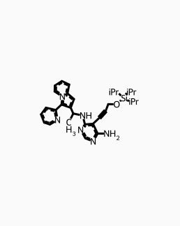 CC(Nc1ncnc(N)c1C#CCO[Si](C(C)C)(C(C)C)C(C)C)c1cc2ccccn2c1-c1ccccn1